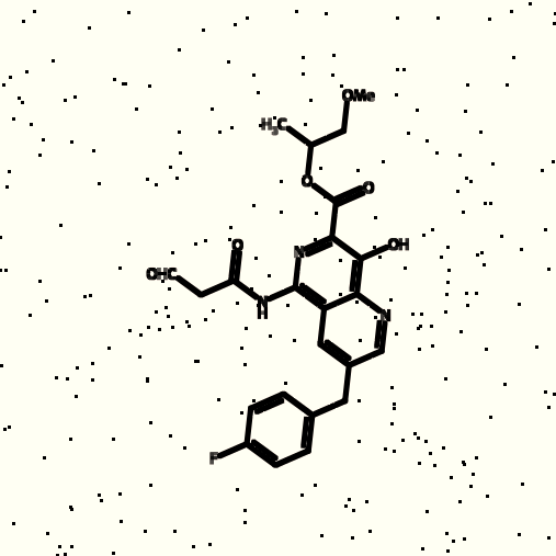 COCC(C)OC(=O)c1nc(NC(=O)CC=O)c2cc(Cc3ccc(F)cc3)cnc2c1O